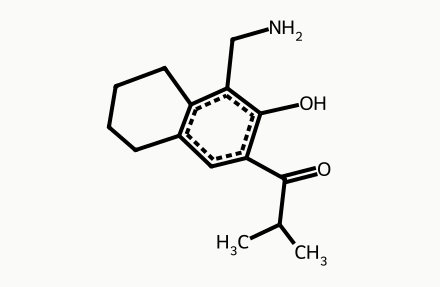 CC(C)C(=O)c1cc2c(c(CN)c1O)CCCC2